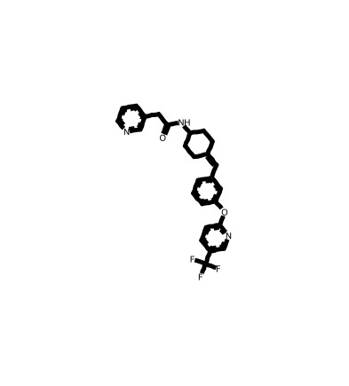 O=C(Cc1cccnc1)NC1CCC(=Cc2cccc(Oc3ccc(C(F)(F)F)cn3)c2)CC1